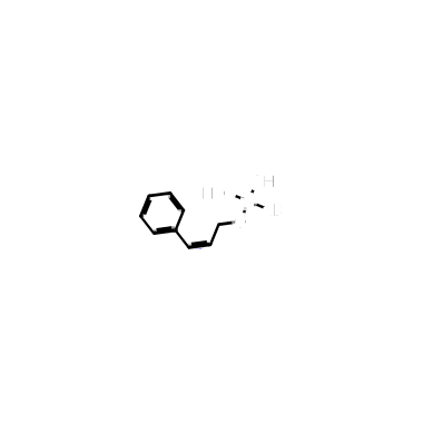 CC(C)(C)[Si](C)(C)OC/C=C\c1ccccc1